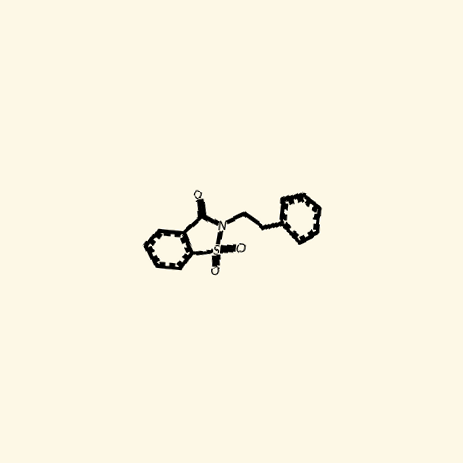 O=C1c2ccccc2S(=O)(=O)N1CCc1ccccc1